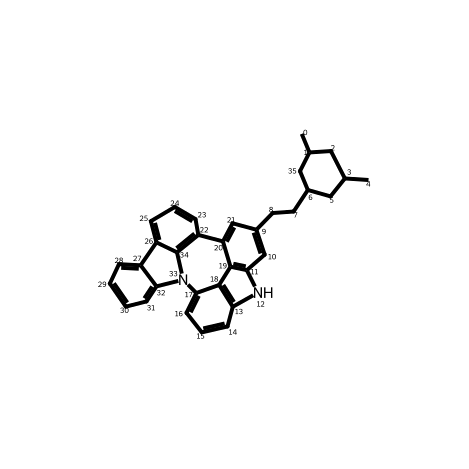 CC1CC(C)CC(CCc2cc3[nH]c4cccc5c4c3c(c2)c2cccc3c4ccccc4n5c23)C1